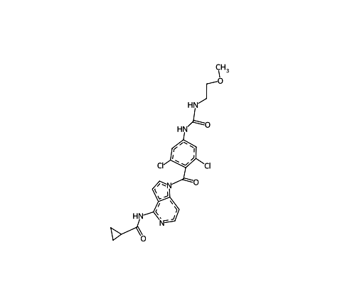 COCCNC(=O)Nc1cc(Cl)c(C(=O)n2ccc3c(NC(=O)C4CC4)nccc32)c(Cl)c1